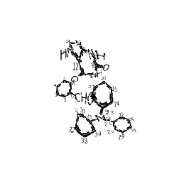 O=Cc1ccccc1.O=c1[nH]c(=O)c2[nH]cnc2[nH]1.c1ccc(N(c2ccccc2)c2ccccc2)cc1